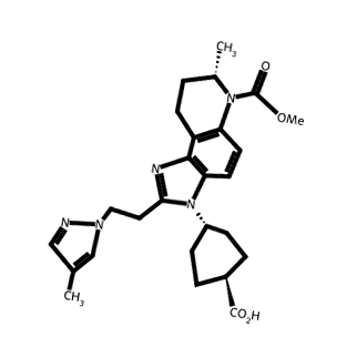 COC(=O)N1c2ccc3c(nc(CCn4cc(C)cn4)n3[C@H]3CC[C@H](C(=O)O)CC3)c2CC[C@@H]1C